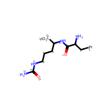 CC(C)CC(N)C(=O)NC(CCCNC(N)=O)C(=O)O